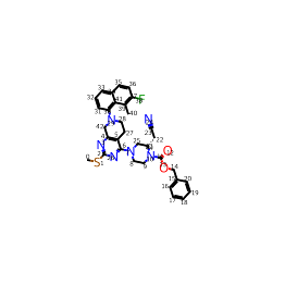 CSc1nc2c(c(N3CCN(C(=O)OCc4ccccc4)[C@@H](CC#N)C3)n1)CCN(c1cccc3ccc(F)c(C)c13)C2